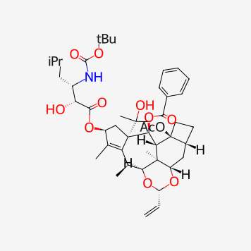 C=C[C@H]1O[C@H]2C[C@H]3CC[C@@]3(OC(C)=O)[C@H]3[C@H](OC(=O)c4ccccc4)[C@]4(C(C)(C)O)C[C@H](OC(=O)[C@H](O)[C@H](CC(C)C)NC(=O)OC(C)(C)C)C(C)=C4[C@H](C)[C@H](O1)[C@]23C